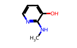 CNc1ncccc1O